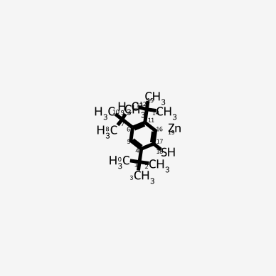 CC(C)(C)c1cc(C(C)(C)C)c(C(C)(C)C)cc1S.[Zn]